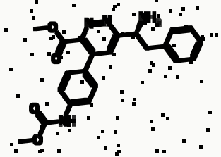 COC(=O)Nc1ccc(-c2cc([C@@H](N)Cc3ccccc3)nnc2C(=O)OC)cc1